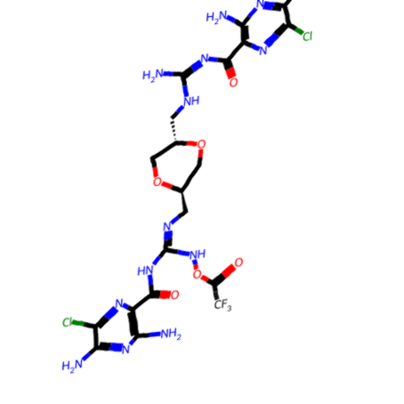 NC(=NC(=O)c1nc(Cl)c(N)nc1N)NC[C@H]1CO[C@H](CN=C(NOC(=O)C(F)(F)F)NC(=O)c2nc(Cl)c(N)nc2N)CO1